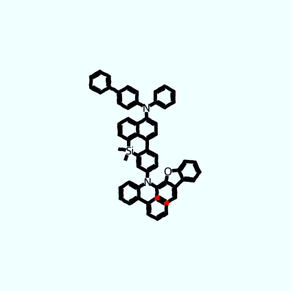 C[Si]1(C)c2cc(N(c3ccccc3-c3ccccc3)c3cccc4c3oc3ccccc34)ccc2-c2ccc(N(c3ccccc3)c3ccc(-c4ccccc4)cc3)c3cccc1c23